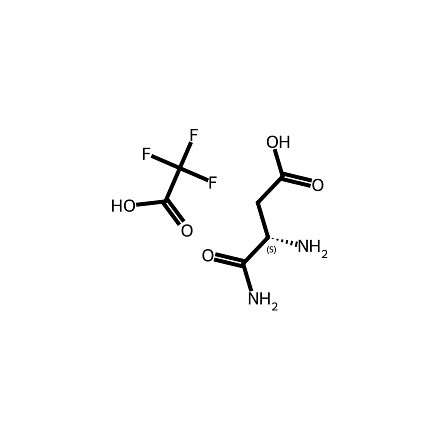 NC(=O)[C@@H](N)CC(=O)O.O=C(O)C(F)(F)F